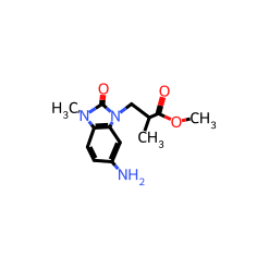 COC(=O)C(C)Cn1c(=O)n(C)c2ccc(N)cc21